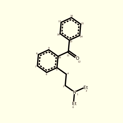 CCN(CC)CCc1ccc[c]c1C(=O)c1ccccc1